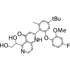 COc1cc(F)ccc1Oc1cc(C(C)(C)C)cc(C)c1-c1cc(=O)c2c(C(O)CO)nccc2[nH]1